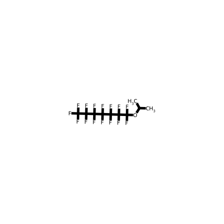 CC(C)OC(F)(F)C(F)(F)C(F)(F)C(F)(F)C(F)(F)C(F)(F)C(F)(F)F